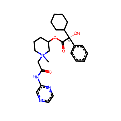 C[N+]1(CC(=O)Nc2cnccn2)CCCC(OC(=O)[C@](O)(c2ccccc2)C2CCCCC2)C1